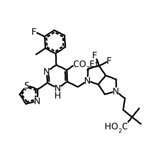 CCOC(=O)C1=C(CN2CC(F)(F)C3CN(CCC(C)(C)C(=O)O)CC32)NC(c2nccs2)=NC1c1cccc(F)c1C